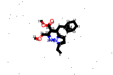 CCc1ccc2c(CC3CC4CCC3C4)c(C(=O)OC)c(COC)nn12